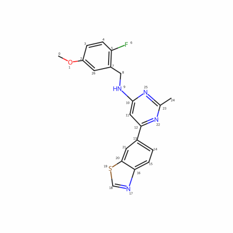 COc1ccc(F)c(CNc2cc(-c3ccc4ncsc4c3)nc(C)n2)c1